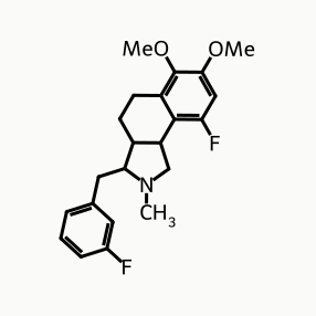 COc1cc(F)c2c(c1OC)CCC1C2CN(C)C1Cc1cccc(F)c1